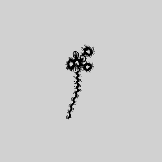 CCCCCCCCCCCCCCCCCCn1c(-c2ccccc2)c(OCc2ccccc2)c(=O)c2ccccc21